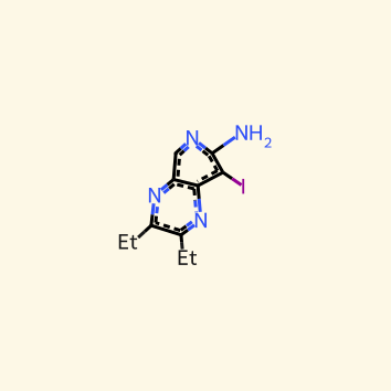 CCc1nc2cnc(N)c(I)c2nc1CC